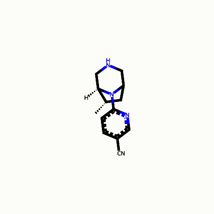 C[C@H]1CC2CNC[C@H]1N2c1ccc(C#N)cn1